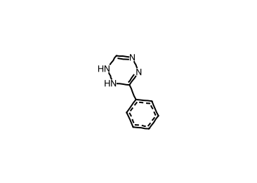 C1=NN=C(c2ccccc2)NN1